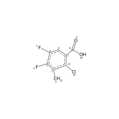 Cc1c(F)c(F)cc(C(=O)O)c1Cl